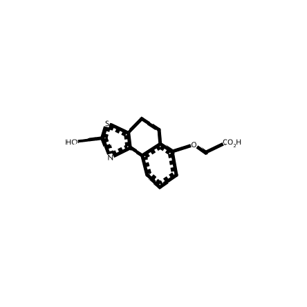 O=C(O)COc1cccc2c1CCc1sc(O)nc1-2